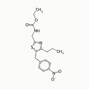 CCCc1nc(CNC(=O)OCC)sc1Cc1ccc([N+](=O)[O-])cc1